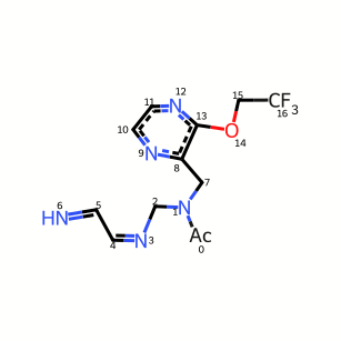 CC(=O)N(C/N=C\C=N)Cc1nccnc1OCC(F)(F)F